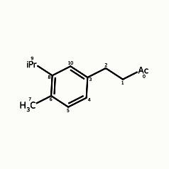 CC(=O)CCc1ccc(C)c(C(C)C)c1